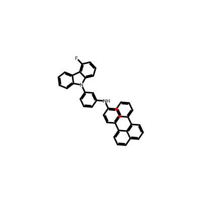 Fc1cccc2c1c1ccccc1n2-c1cccc(Nc2ccc(-c3cccc4cccc(-c5ccccc5)c34)cc2)c1